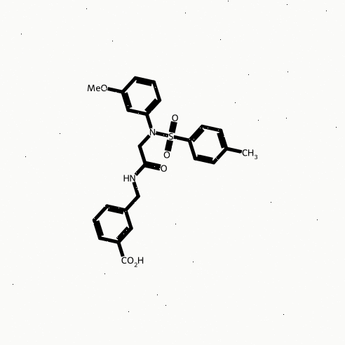 COc1cccc(N(CC(=O)NCc2cccc(C(=O)O)c2)S(=O)(=O)c2ccc(C)cc2)c1